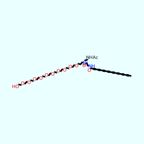 CC#CC#CC#CC#CC#CC#CC#CC#CC(=O)NCC[N+]([O-])(CCCOCCOCCOCCOCCOCCOCCOCCOCCOCCOCCO)CCNC(C)=O